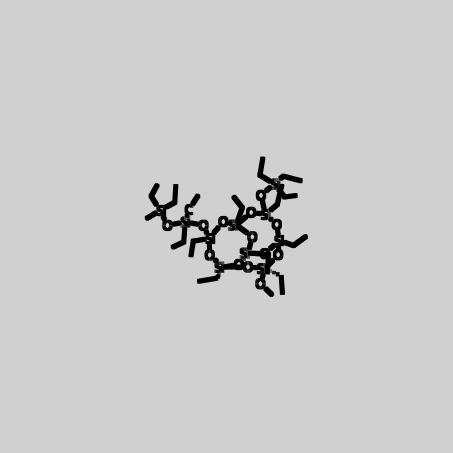 CC[Si](C)(CC)O[Si](CC)(CC)O[Si]1(CC)O[Si]2(CC)O[Si](CC)(O[Si](CC)(CC)CC)O[Si]3(CC)O[Si](CC)(O2)O[Si@](CC)(O1)O[Si@](CC)(OC)O3